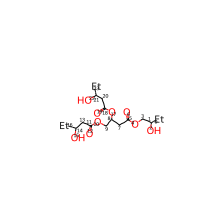 CCC(O)COC(=O)CC(COC(=O)CC(O)CC)OC(=O)CC(O)CC